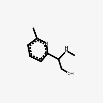 CNC(CO)c1cccc(C)n1